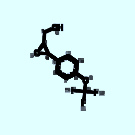 OCC1OC1c1ccc(OC(F)(F)F)cc1